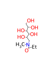 CCC(=O)N(C)CC(O)C(O)C(O)C(O)CO